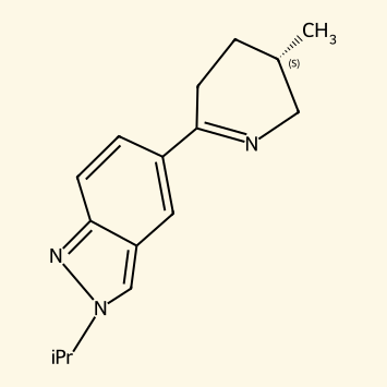 CC(C)n1cc2cc(C3=NC[C@@H](C)CC3)ccc2n1